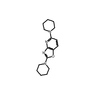 c1cc2oc(N3CCCCC3)nc2nc1N1CCCCC1